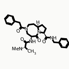 CN[C@@H](C)C(=O)N[C@H]1CN(C(=O)Cc2ccccc2)CC[C@H]2CC[C@@H](C(=O)NCc3ccccc3)N2C1=O